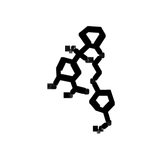 COc1ccc(OCCOc2ccccc2C(C)(C)c2ccc(O)c(C(=O)O)c2)cc1